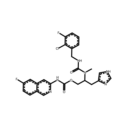 CN(C(=O)NCc1cccc(F)c1Cl)C(COC(=O)Nc1cc2cc(F)ccc2cn1)Cc1c[nH]cn1